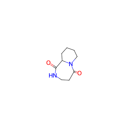 O=C1NCCC(=O)N2CCCCC12